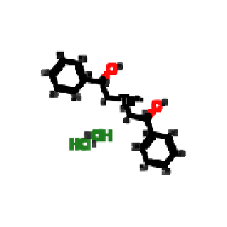 Cl.Cl.O=C(C[Te+]CC(=O)c1ccccc1)c1ccccc1